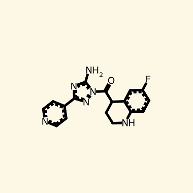 Nc1nc(-c2ccncc2)nn1C(=O)C1CCNc2ccc(F)cc21